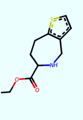 CCOC(=O)C1CCc2sccc2CN1